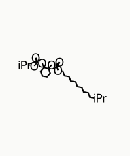 CC(C)CCCCCCCCCCOC(=O)OC1CCCCC1OC(=O)OC(C)C